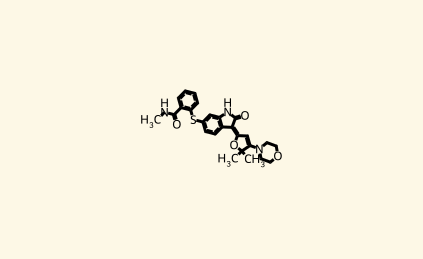 CNC(=O)c1ccccc1Sc1ccc2c(c1)NC(=O)/C2=C1\C=C(N2CCOCC2)C(C)(C)O1